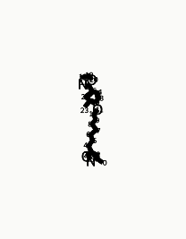 Cc1cc(CCCCCCCOc2ccc(C3=NCCO3)cc2C)on1